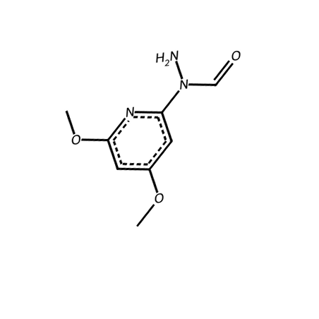 COc1cc(OC)nc(N(N)C=O)c1